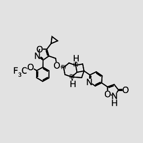 O=c1cc(-c2ccc(C34C[C@H]5C[C@@H](OCc6c(-c7ccccc7OC(F)(F)F)noc6C6CC6)C[C@@H](C3)C54)nc2)o[nH]1